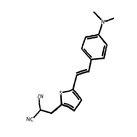 CN(C)c1ccc(/C=C/c2ccc(CC(C#N)C#N)s2)cc1